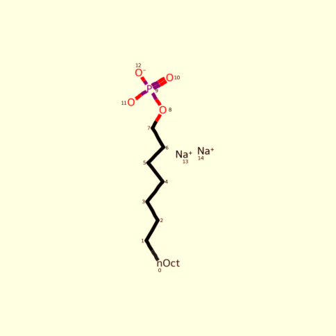 CCCCCCCCCCCCCCCOP(=O)([O-])[O-].[Na+].[Na+]